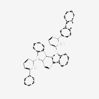 C1=CC(c2ccc3oc4ccccc4c3c2)NC(n2c3c(c4ccccc42)C=CC2C3c3ccccc3N2C2C=CC=C(c3ccccc3)N2)=C1